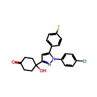 O=C1CCC(O)(c2cc(-c3ccc(F)cc3)n(-c3ccc(Cl)cc3)n2)CC1